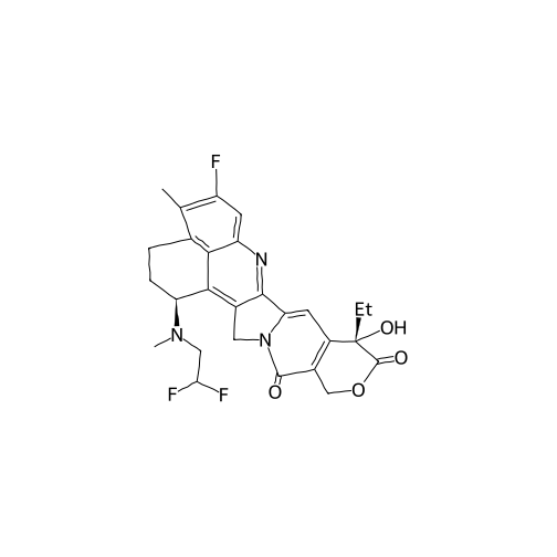 CC[C@@]1(O)C(=O)OCc2c1cc1n(c2=O)Cc2c-1nc1cc(F)c(C)c3c1c2[C@@H](N(C)CC(F)F)CC3